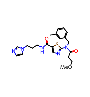 COCCC(=O)N(Cc1cccc(C)c1)c1ncc(C(=O)NCCCn2ccnc2)s1